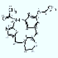 CCOc1cc(C[C@@H]2CN(Cc3cnc(NC(C)=O)s3)CCO2)ccn1